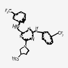 OC1CCN(c2nc(Nc3cccc(C(F)(F)F)c3)nc(Nc3cccc(C(F)(F)F)c3)n2)C1